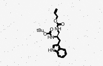 C=CCOC(=O)NC[C@@H](Cc1c[nH]c2ccccc12)NC(=O)OC(C)(C)C